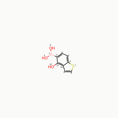 OB(O)c1ccc2sccc2c1O